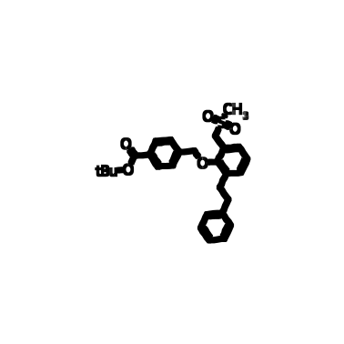 CC(C)(C)OC(=O)c1ccc(COc2c(CCc3ccccc3)cccc2CS(C)(=O)=O)cc1